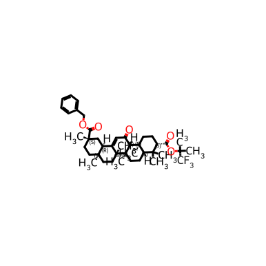 CC1(C)[C@@H](C(=O)OC(C)(C)C(F)(F)F)CC[C@]2(C)[C@H]3C(=O)C=C4[C@@H]5C[C@@](C)(C(=O)OCc6ccccc6)CC[C@]5(C)CC[C@@]4(C)[C@]3(C)CC[C@@H]12